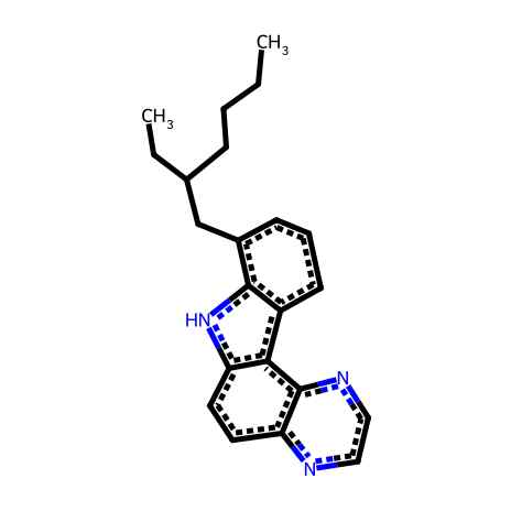 CCCCC(CC)Cc1cccc2c1[nH]c1ccc3nccnc3c12